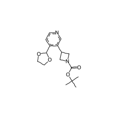 CC(C)(C)OC(=O)N1CC(c2cnccc2C2OCCO2)C1